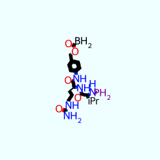 BC(=O)OCc1ccc(NC(=O)[C@H](CCCNC(N)=O)NC(=O)C(NP)C(C)C)cc1